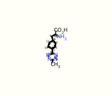 Cc1nnc(-c2ccc(C[C@H](N)C(=O)O)cc2)nn1